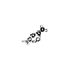 O=C(O)N1CCN(c2ccc(Oc3cc(CN4CCC(CO)CC4)cc(-c4cc(Cl)cc(Cl)c4)n3)cn2)CC1